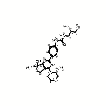 C[C@H]1COCCN1c1nc(-c2ccc(NC(=O)NC[C@@H](O)CO)cc2)nc2c1COC2(C)C